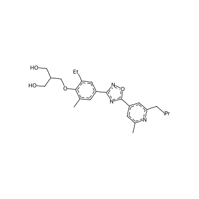 CCc1cc(-c2noc(-c3cc(C)nc(CC(C)C)c3)n2)cc(C)c1OCC(CO)CO